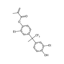 C=C(C)C(=O)Oc1ccc(C(C)(c2ccc(O)c(CC)c2)C(F)(F)F)cc1CC